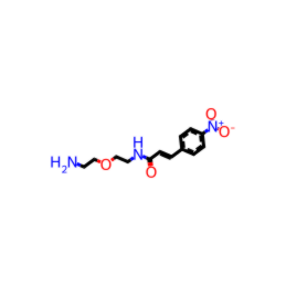 NCCOCCNC(=O)/C=C/c1ccc([N+](=O)[O-])cc1